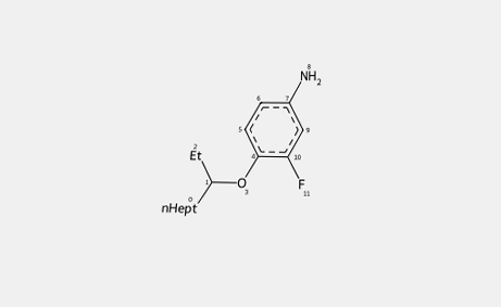 CCCCCCCC(CC)Oc1ccc(N)cc1F